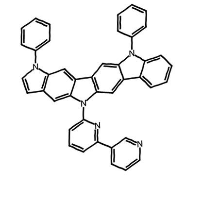 c1ccc(-n2ccc3cc4c(cc32)c2cc3c(cc2n4-c2cccc(-c4cccnc4)n2)c2ccccc2n3-c2ccccc2)cc1